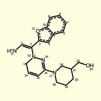 N/C=C(/c1cc2ccccc2o1)N1CC=CC(N2CCCC(CO)C2)=N1